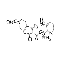 Nc1cccnc1N(N)OC(=O)c1c(Cl)cc2c(c1Cl)CCN(C=O)C2